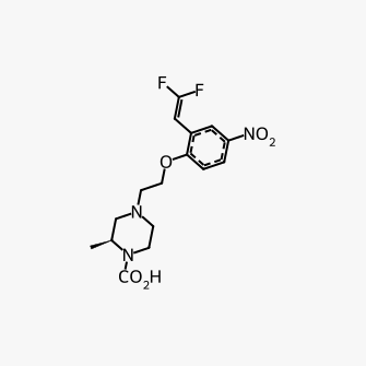 C[C@H]1CN(CCOc2ccc([N+](=O)[O-])cc2C=C(F)F)CCN1C(=O)O